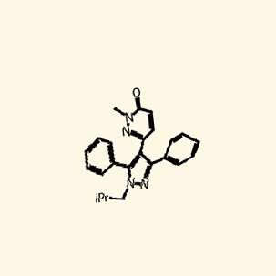 CC(C)Cn1nc(-c2ccccc2)c(-c2ccc(=O)n(C)n2)c1-c1ccccc1